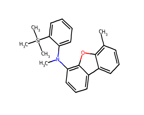 Cc1cccc2c1oc1c(N(C)c3ccccc3[Si](C)(C)C)cccc12